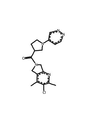 Cc1nc2c(c(C)c1Cl)CN(C(=O)C1CCN(c3ccnnc3)C1)C2